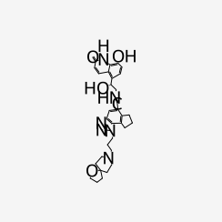 O=c1ccc2c([C@@H](O)CNCc3cc4nnn(CCCN5CCC6(CCCO6)CC5)c4c4c3CCC4)ccc(O)c2[nH]1